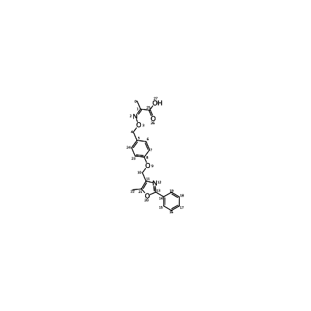 CC(=NOCc1ccc(OCc2nc(-c3ccccc3)oc2C)cc1)C(=O)O